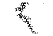 CC(C)(COP(=O)(O)OP(=O)(O)OC[C@H]1O[C@@H](n2cnc3c(N)ncnc32)[C@H](O)[C@@H]1OP(=O)(O)O)C(O)C(=O)NCCC(=O)NCCSCC=O